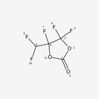 O=C1OC(F)(F)C(F)(C(F)F)O1